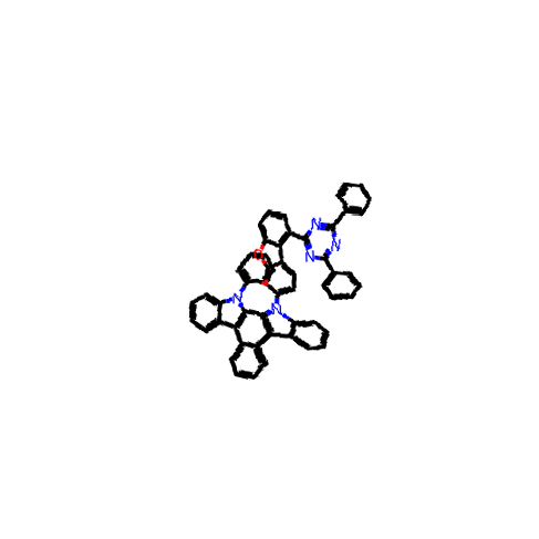 c1ccc(-c2nc(-c3ccccc3)nc(-c3cccc4oc5cc(-n6c7ccccc7c7c8ccccc8c8c9ccccc9n(-c9ccccc9)c8c76)ccc5c34)n2)cc1